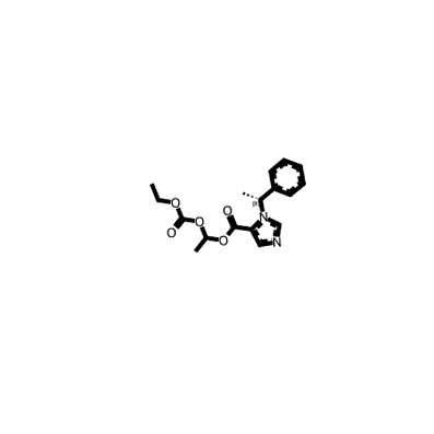 CCOC(=O)OC(C)OC(=O)c1cncn1[C@H](C)c1ccccc1